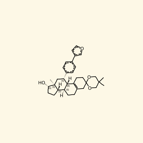 CC1(C)COC2(CCC3=C(CC[C@@H]4[C@@H]3[C@@H](c3ccc(-c5ccoc5)cc3)C[C@]3(C)[C@@H](O)CC[C@@H]43)C2)OC1